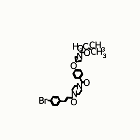 CC(C)(C)OC(=O)N1CC(Oc2ccc(C(=O)N3CCN(C(=O)/C=C/c4ccc(Br)cc4)CC3)cc2)C1